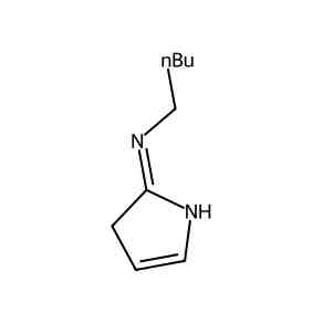 CCCCCN=C1CC=CN1